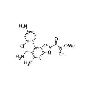 CON(C)C(=O)c1cn2c(-c3ccc(N)cc3Cl)c(CN)c(C)nc2n1